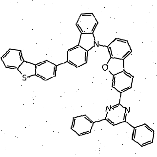 c1ccc(-c2cc(-c3ccccc3)nc(-c3ccc4c(c3)oc3c(-n5c6ccccc6c6cc(-c7ccc8sc9ccccc9c8c7)ccc65)cccc34)n2)cc1